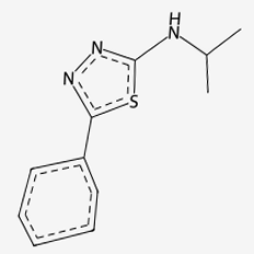 CC(C)Nc1nnc(-c2ccccc2)s1